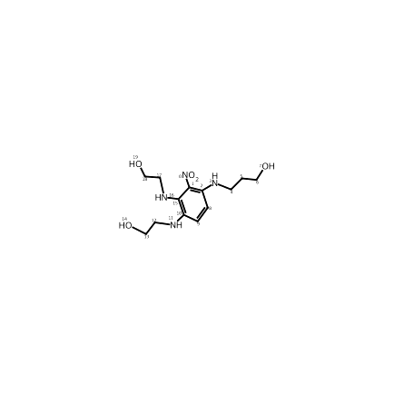 O=[N+]([O-])c1c(NCCCO)ccc(NCCO)c1NCCO